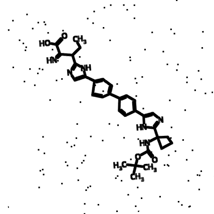 CCC(C(=N)C(=O)O)c1ncc(-c2ccc(-c3ccc(-c4cnc(C5(NC(=O)OC(C)(C)C)CCC5)[nH]4)cc3)cc2)[nH]1